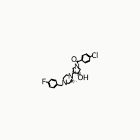 C[C@@H]1CN(Cc2ccc(F)cc2)CCN1[C@H]1CN(C(=O)c2ccc(Cl)cc2)C[C@@H]1O